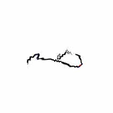 CCCCC/C=C\C/C=C\CCCCCCCCC(CCCCCCCC/C=C\C/C=C\CCCCC)N(C)CC(CCCCNC)N(C)C